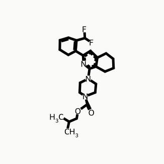 CC(C)COC(=O)N1CCN(c2nc(C3=C(C(F)F)C=CCC3)cc3c2CCCC3)CC1